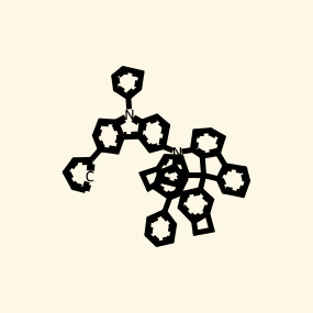 c1ccc(-c2ccc(N(c3ccc4c(c3)c3cc(-c5ccccc5)ccc3n4-c3ccccc3)c3cccc4c3C(c3ccc5c(c3)CC5)(c3ccc5c(c3)CC5)c3ccccc3-4)cc2)cc1